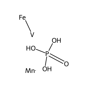 O=P(O)(O)O.[Mn].[V][Fe]